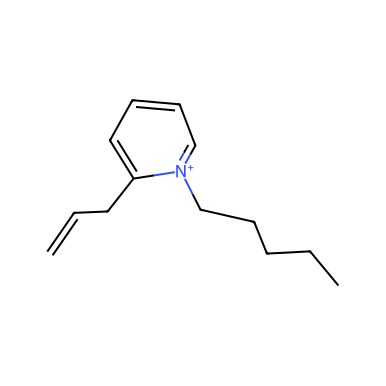 C=CCc1cccc[n+]1CCCCC